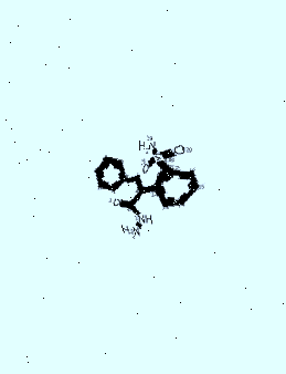 NNC(=O)C(Cc1ccccc1)c1ccccc1S(N)(=O)=O